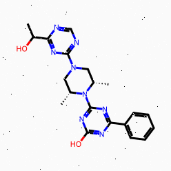 CC(O)c1ncnc(N2C[C@@H](C)N(c3nc(O)nc(-c4ccccc4)n3)[C@@H](C)C2)n1